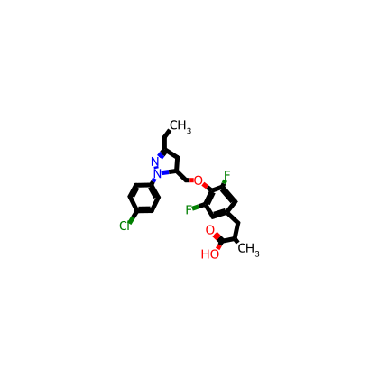 CCC1=NN(c2ccc(Cl)cc2)C(COc2c(F)cc(CC(C)C(=O)O)cc2F)C1